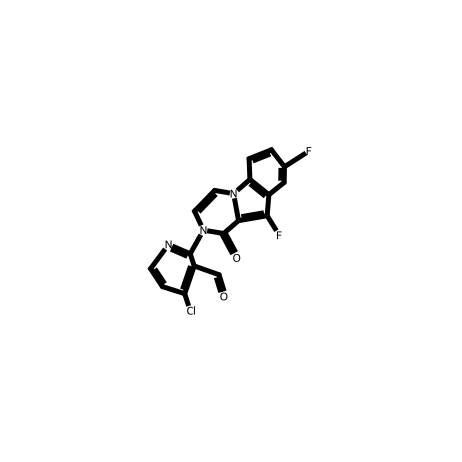 O=Cc1c(Cl)ccnc1-n1ccn2c(c(F)c3cc(F)ccc32)c1=O